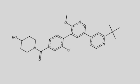 COc1ncc(-c2ccnc(C(C)(C)C)c2)cc1-c1ccc(C(=O)N2CCC(O)CC2)cc1Cl